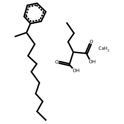 CCCC(C(=O)O)C(=O)O.CCCCCCCCCC(C)c1ccccc1.[CaH2]